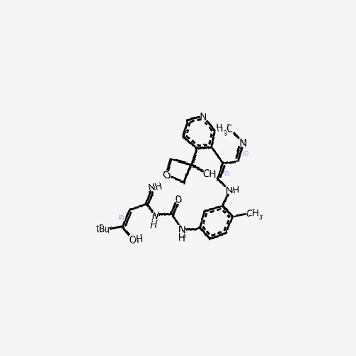 C/N=C\C(=C/Nc1cc(NC(=O)NC(=N)/C=C(\O)C(C)(C)C)ccc1C)c1cnccc1C1(C)COC1